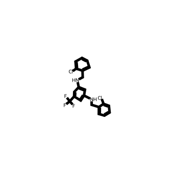 FC(F)(F)c1cc(NCc2ccccc2Cl)cc(NCc2ccccc2Cl)c1